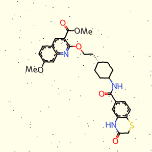 COC(=O)c1cc2ccc(OC)cc2nc1OCC[C@H]1CC[C@H](NC(=O)c2ccc3c(c2)NC(=O)CS3)CC1